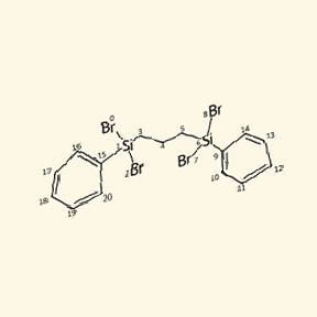 Br[Si](Br)(CCC[Si](Br)(Br)c1ccccc1)c1ccccc1